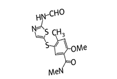 CNC(=O)c1cc(Sc2cnc(NC=O)s2)c(C)cc1OC